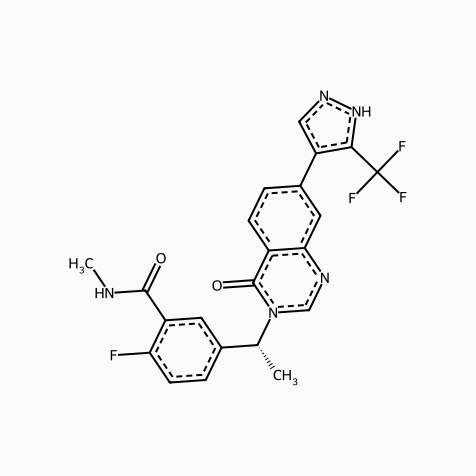 CNC(=O)c1cc([C@@H](C)n2cnc3cc(-c4cn[nH]c4C(F)(F)F)ccc3c2=O)ccc1F